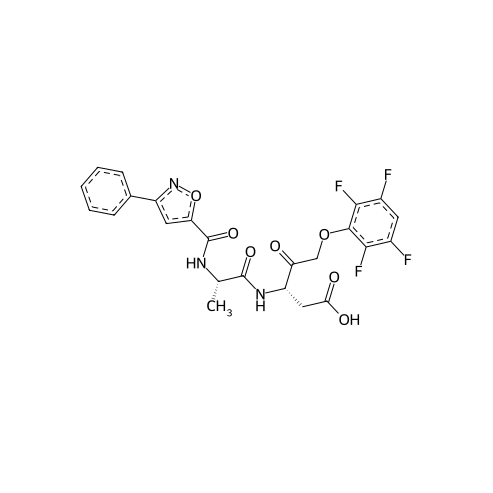 C[C@H](NC(=O)c1cc(-c2ccccc2)no1)C(=O)N[C@@H](CC(=O)O)C(=O)COc1c(F)c(F)cc(F)c1F